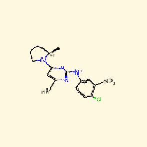 CCCc1cc(N2CCC[C@H]2C)nc(Nc2ccc(Cl)c([N+](=O)[O-])c2)n1